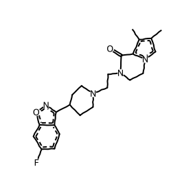 Cc1cn2c(c1C)C(=O)N(CCN1CCC(c3noc4cc(F)ccc34)CC1)CC2